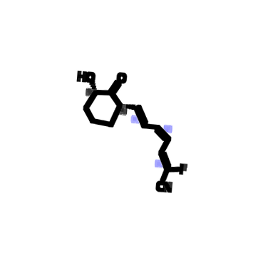 N#C/C(F)=C/C=C\C=C\[C@@H]1CCC[C@H](O)C1=O